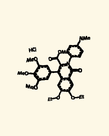 CCOc1cc2c(-c3cc(OC)c(OC)c(OC)c3)c(C(=O)OC)n(-c3ccc(NC)cc3)c(=O)c2cc1OCC.Cl